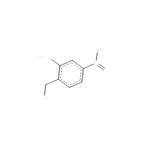 COc1cc([N+](=O)O)ccc1CO